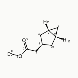 CCOC(=O)C[C@H]1C[C@@H]2C[C@@H]2C1